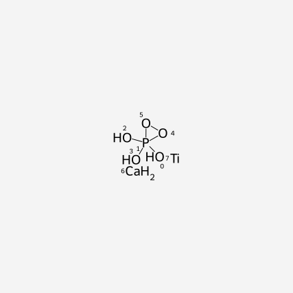 OP1(O)(O)OO1.[CaH2].[Ti]